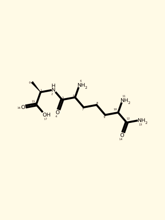 C[C@@H](NC(=O)C(N)CCCC(N)C(N)=O)C(=O)O